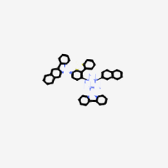 c1ccc2cc(-c3nc(-c4ccc(-n5c6ccccc6c6cc7ccccc7cc65)c5sc6ccccc6c45)nc(-n4c5ccccc5c5ccccc54)n3)ccc2c1